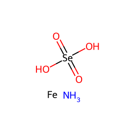 N.O=[Se](=O)(O)O.[Fe]